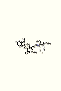 COC(=O)[C@H](Cc1c[nH]c2ccccc12)NC(=O)CO/N=C(\C)[C@H](O)[C@H](S)OC